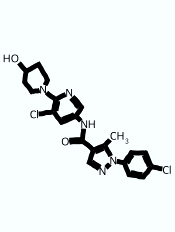 Cc1c(C(=O)Nc2cnc(N3CCC(O)CC3)c(Cl)c2)cnn1-c1ccc(Cl)cc1